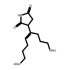 CCCCCCCCCCCCCC=C(CCCCCCCCCCCCC)C1CC(=O)NC1=O